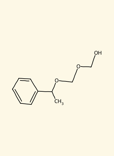 CC(OCOCO)c1ccccc1